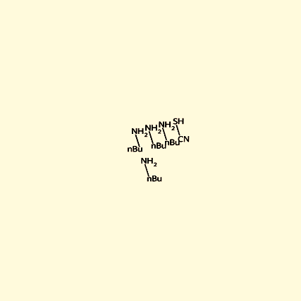 CCCCN.CCCCN.CCCCN.CCCCN.N#CS